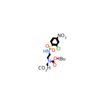 CC(C)(C)OC(=O)N(CCNS(=O)(=O)c1ccc([N+](=O)[O-])cc1Cl)CC(=O)O